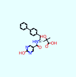 C[C@](O)(C[C@@H](Cc1ccc(-c2ccccc2)cc1)NC(=O)c1cnc(O)nc1)C(=O)O